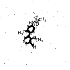 COc1c(C#N)cncc1-c1ccc(NS(C)(=O)=O)cc1C